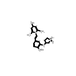 COc1ccc(/C=C/N2C(C)=CC(O)C=C2C)cc1OC1CCS(=O)(=O)C1